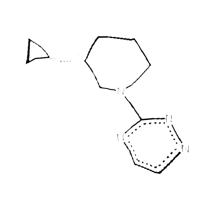 c1cnc(N2CCC[C@@H](C3CC3)C2)nn1